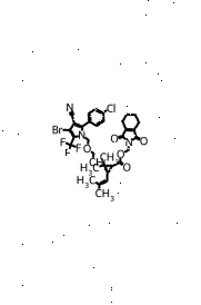 CC(C)=CC1C(C(=O)OCN2C(=O)C3=C(CCCC3)C2=O)C1(C)C.CCOCn1c(-c2ccc(Cl)cc2)c(C#N)c(Br)c1C(F)(F)F